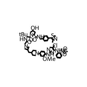 COc1cc(N2CCC(CC3CN(CC(=O)N[C@H](C(=O)N4C[C@H](O)C[C@H]4C(=O)NCc4ccc(-c5scnc5C)cc4)C(C)(C)C)C3)CC2)ccc1Nc1ncc(Cl)c(Nc2ccccc2N(C)S(C)(=O)=O)n1